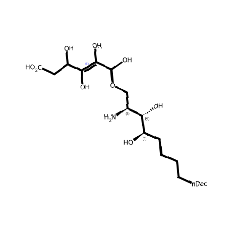 CCCCCCCCCCCCCC[C@@H](O)[C@@H](O)[C@@H](N)COC(O)/C(O)=C(\O)C(O)CC(=O)O